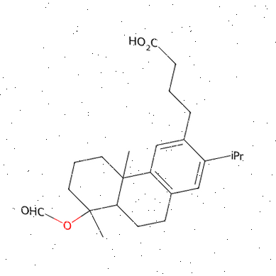 CC(C)c1cc2c(cc1CCCC(=O)O)C1(C)CCCC(C)(OC=O)C1CC2